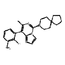 Cc1nc(N2CCC3(CCCC3)CC2)n2ccnc2c1-c1cccc(N)c1Cl